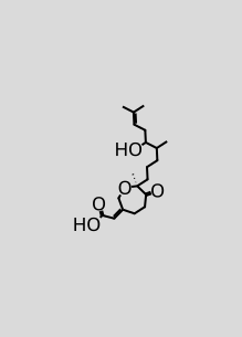 CC(C)=CCC(O)C(C)CCC[C@]1(C)OCC(=CC(=O)O)CCC1=O